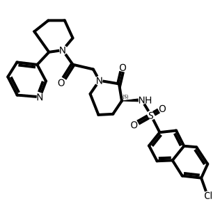 O=C1[C@@H](NS(=O)(=O)c2ccc3cc(Cl)ccc3c2)CCCN1CC(=O)N1CCCCC1c1cccnc1